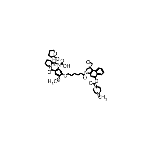 COc1cc2c(cc1OCCCCCC(=O)N1C[C@@H](CCl)c3c1cc(OC(=O)N1CCN(C)CC1)c1ccccc31)N(C(=O)O)[C@@H](OC1CCCCO1)[C@@H]1CCCCN1C2=O